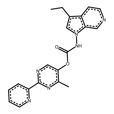 CCc1cn(NC(=O)Oc2cnc(-c3ccccn3)nc2C)c2cnccc12